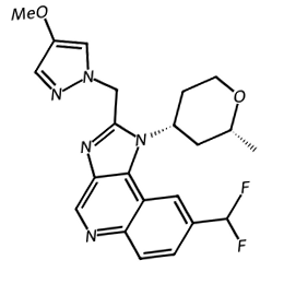 COc1cnn(Cc2nc3cnc4ccc(C(F)F)cc4c3n2[C@@H]2CCO[C@H](C)C2)c1